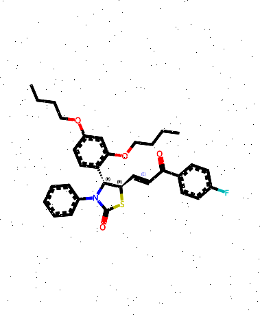 CCCCOc1ccc([C@@H]2[C@@H](/C=C/C(=O)c3ccc(F)cc3)SC(=O)N2c2ccccc2)c(OCCCC)c1